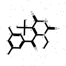 CCn1c(C(=O)c2cc(C)cc(C)c2)c(C(C)(C)C)c(=O)[nH]c1=O